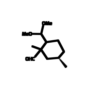 COC(OC)C1CC[C@H](C)CC1(C)C=O